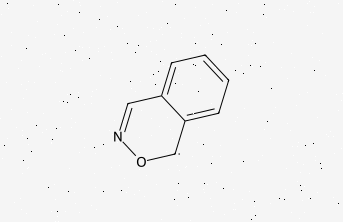 [CH]1ON=Cc2ccccc21